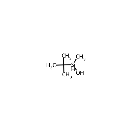 C[SiH](O)C(C)(C)C